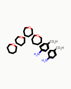 C1CCCOCC1.C1CCCOCC1.C1CCCOCC1.C1CCCOCC1.Nc1ccc(C(=O)O)cc1.Nc1ccc(C(=O)O)cc1